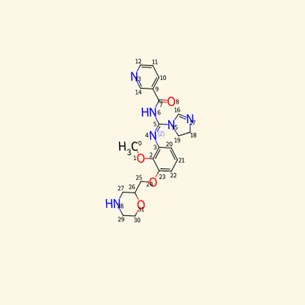 COc1c(/N=C(/NC(=O)c2cccnc2)N2C=NCC2)cccc1OCC1CNCCO1